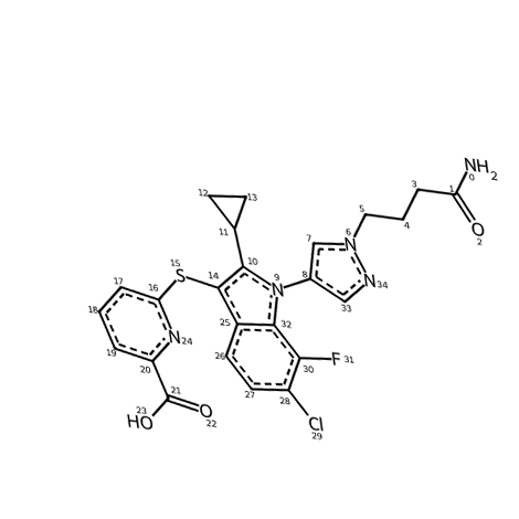 NC(=O)CCCn1cc(-n2c(C3CC3)c(Sc3cccc(C(=O)O)n3)c3ccc(Cl)c(F)c32)cn1